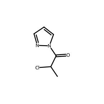 CC(Cl)C(=O)n1cccn1